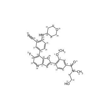 COc1cc(C(=O)N(C)CCO)ccc1-c1cc2ncc(F)c(-c3ccc(NC4CCOCC4)c(C#N)c3)c2o1